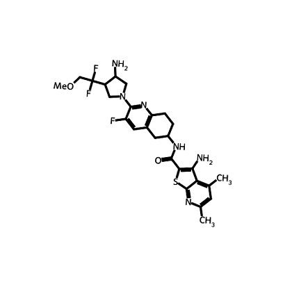 COCC(F)(F)C1CN(c2nc3c(cc2F)CC(NC(=O)c2sc4nc(C)cc(C)c4c2N)CC3)CC1N